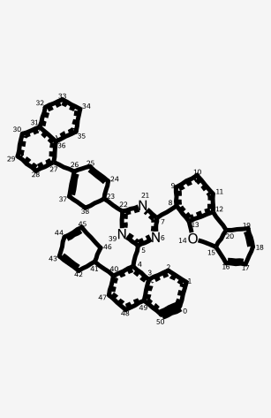 c1ccc2c(-c3nc(-c4cccc5c4OC4C=CC=CC54)nc(C4C=CC(c5cccc6ccccc56)=CC4)n3)c(C3C=CC=CC3)ccc2c#1